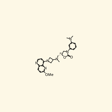 COc1ccc2nccc(N3CC(N(C)C[C@@H]4CN(c5cccc(N(C)C)c5)C(=O)O4)C3)c2n1